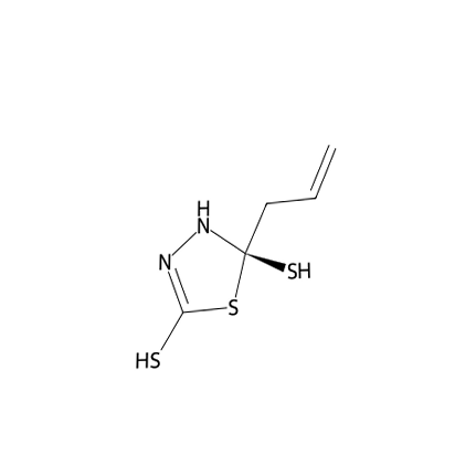 C=CC[C@@]1(S)NN=C(S)S1